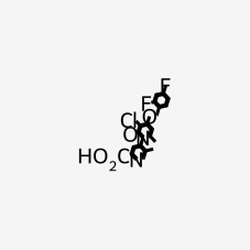 Cc1cnc(C(=O)O)cc1-n1c(C)cc(OCc2ccc(F)cc2F)c(Cl)c1=O